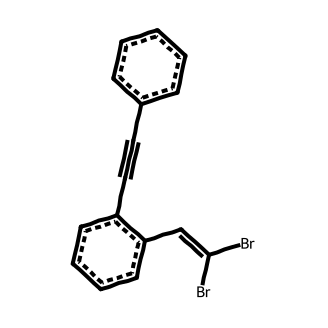 BrC(Br)=Cc1ccccc1C#Cc1ccccc1